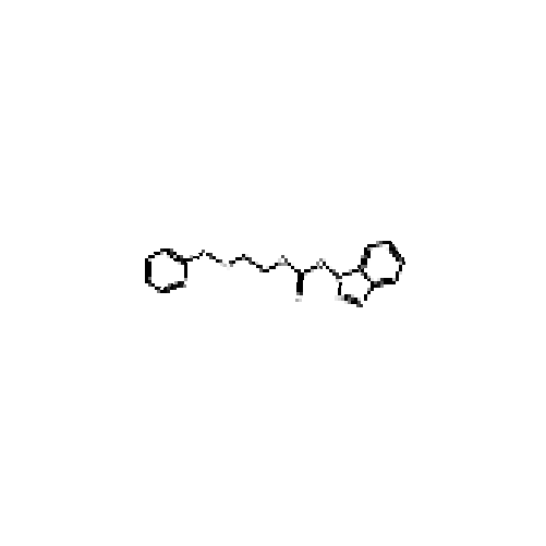 O=C(OCCSSc1ccccn1)On1nnc2ccccc21